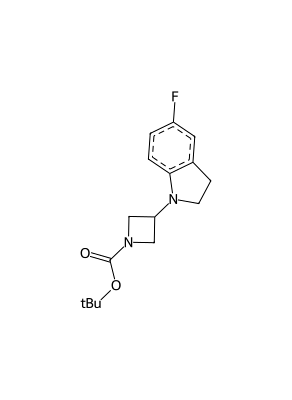 CC(C)(C)OC(=O)N1CC(N2CCc3cc(F)ccc32)C1